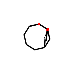 C1CC2C[C]3CC(C1)CC(C3)C2